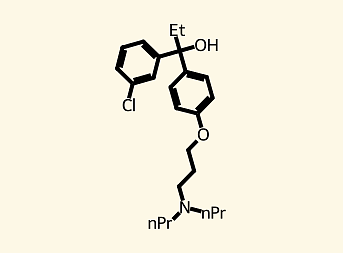 CCCN(CCC)CCCOc1ccc(C(O)(CC)c2cccc(Cl)c2)cc1